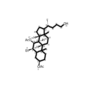 CC[C@@H]1C2C[C@H](OC(C)=O)CCC2(C)[C@H]2CCC3(C)C([C@H](C)CCCO)CC[C@H]3[C@@H]2[C@@H]1OC(C)=O